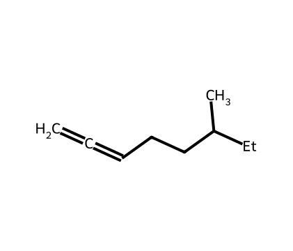 C=C=CCCC(C)CC